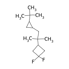 CC(C)(C)C1CC1CC(C)(C)C1CC(F)(F)C1